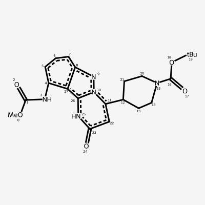 COC(=O)Nc1cccc2nn3c(C4CCN(C(=O)OC(C)(C)C)CC4)cc(=O)[nH]c3c12